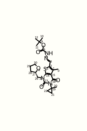 Cc1c(/C=N/NC(=O)OC(C)(C)C)sc2c1c(=O)n(C1(C)CC1)c(=O)n2C[C@H]1CCCO1